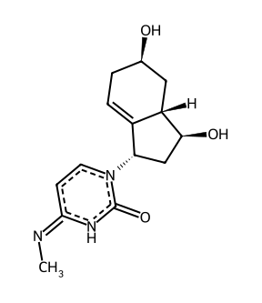 C/N=c1/ccn([C@H]2C[C@H](O)[C@H]3C[C@H](O)CC=C32)c(=O)[nH]1